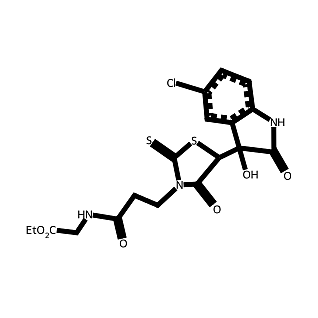 CCOC(=O)CNC(=O)CCN1C(=O)C(C2(O)C(=O)Nc3ccc(Cl)cc32)SC1=S